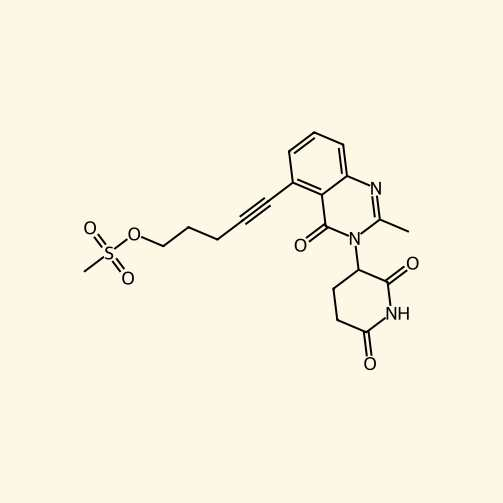 Cc1nc2cccc(C#CCCCOS(C)(=O)=O)c2c(=O)n1C1CCC(=O)NC1=O